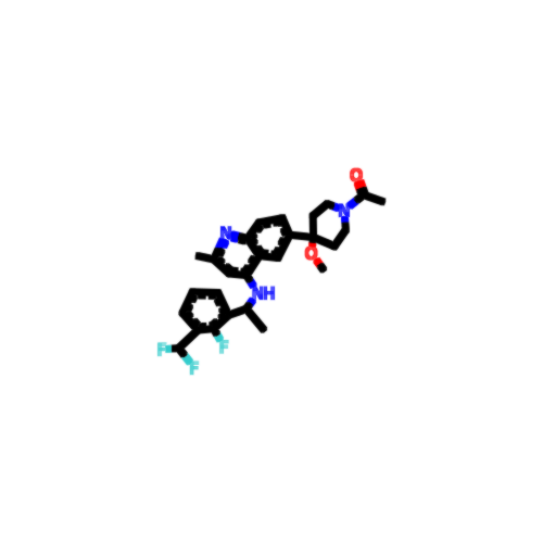 COC1(c2ccc3nc(C)cc(NC(C)c4cccc(C(F)F)c4F)c3c2)CCN(C(C)=O)CC1